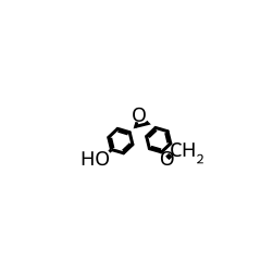 C1CO1.C=O.Oc1ccccc1.c1ccccc1